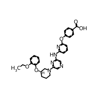 CCOc1ccccc1O[C@@H]1CCCN(c2cncc(Nc3cccc(Oc4ccc(C(=O)O)cc4)n3)n2)C1